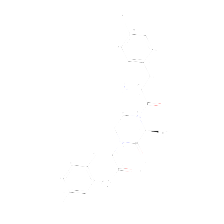 CCC[C@H]1C(=O)N([C@@H](Cc2ccc(C(F)(F)F)cc2)C(=O)NC)CCN1C(=O)[C@H](N)Cc1ccc(F)cc1